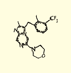 Cc1nc2cnc(N3CCOCC3)cn2c1Cc1cccc(C(F)(F)F)c1C